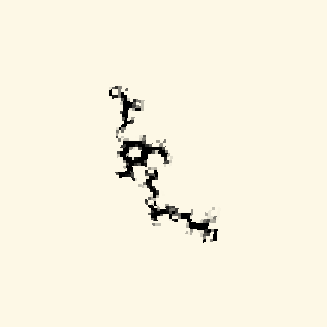 CCc1cc(OCC=C(Cl)Cl)cc(CC)c1OCCOC(C)=NOCC=C(Cl)Cl